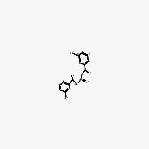 O=[PH](OC(F)c1cccc(Br)n1)OC(F)c1cccc(Br)n1